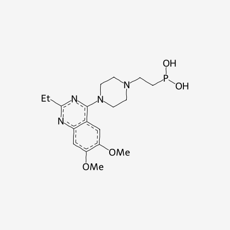 CCc1nc(N2CCN(CCP(O)O)CC2)c2cc(OC)c(OC)cc2n1